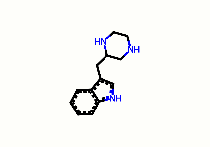 c1ccc2c(CC3CNCCN3)c[nH]c2c1